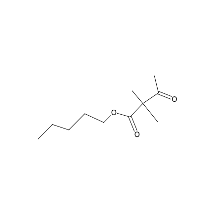 CCCCCOC(=O)C(C)(C)C(C)=O